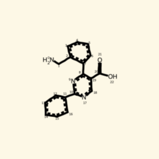 NCc1ccccc1-c1nc(-c2ccccc2)ncc1C(=O)O